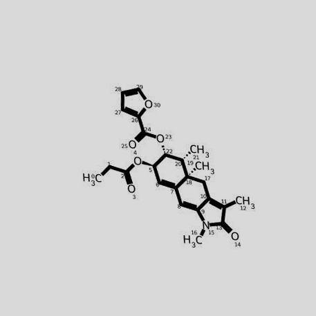 CCC(=O)O[C@@H]1C=C2C=C3C(=C(C)C(=O)N3C)C[C@]2(C)[C@@H](C)[C@H]1OC(=O)c1ccco1